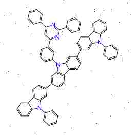 c1ccc(-c2cc(-c3cccc(-n4c5cc(-c6ccc7c8ccccc8n(-c8ccccc8)c7c6)ccc5c5ccc(-c6ccc7c8ccccc8n(-c8ccccc8)c7c6)cc54)c3)nc(-c3ccccc3)n2)cc1